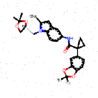 [2H]C1([2H])Oc2ccc(C3(C(=O)Nc4ccc5c(c4)cc(C(C)(C)C)n5C[C@@H]4COC(C)(C)O4)CC3)cc2O1